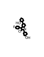 Oc1ccc(-c2nc3ccc(-c4ccccc4O)cc3c(-c3ccc(F)cc3)c2Cl)cc1